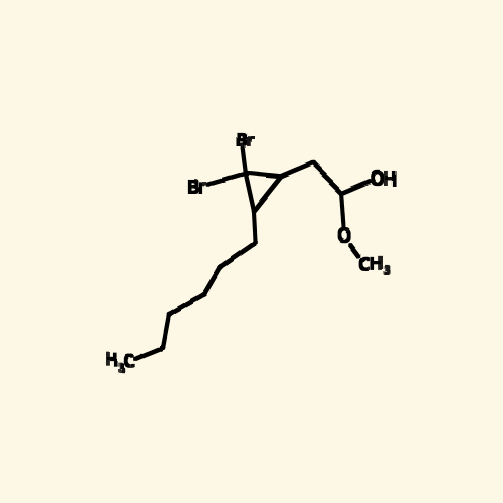 CCCCCCC1C(CC(O)OC)C1(Br)Br